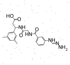 Cc1cc(C)cc(C(CC(=O)O)NC(=O)CNC(=O)c2cccc(NC=NN)c2)c1